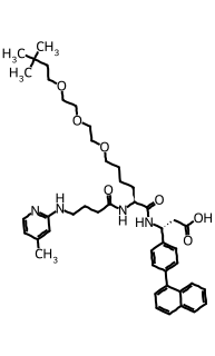 Cc1ccnc(NCCCC(=O)N[C@@H](CCCCOCCOCCOCCC(C)(C)C)C(=O)N[C@H](CC(=O)O)c2ccc(-c3cccc4ccccc34)cc2)c1